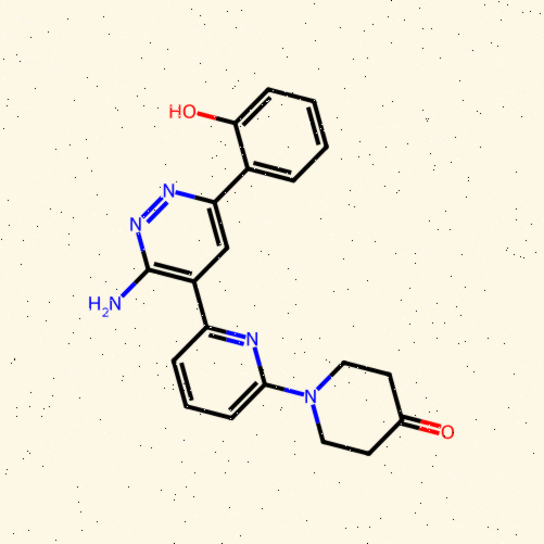 Nc1nnc(-c2ccccc2O)cc1-c1cccc(N2CCC(=O)CC2)n1